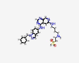 CN(CCCCNc1cc2c(Nc3ccc4c(cnn4Cc4ccccc4)c3)ncnc2cn1)CCS(C)(=O)=O